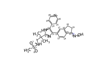 CC(C)(CNS(C)(=O)=O)c1nc(-c2ccc3c(c2)CC/C3=N\O)c(-c2ccncc2)[nH]1